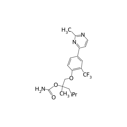 Cc1nccc(-c2ccc(OCC(C)(CC(C)C)OC(N)=O)c(C(F)(F)F)c2)n1